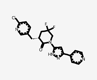 O=C1[C@H](Cc2ccc(Cl)nc2)CC(F)(F)CN1c1cc(-c2ccncc2)n[nH]1